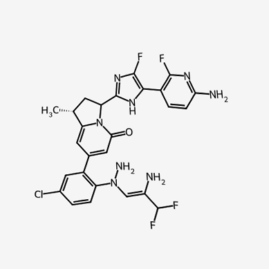 C[C@@H]1CC(c2nc(F)c(-c3ccc(N)nc3F)[nH]2)n2c1cc(-c1cc(Cl)ccc1N(N)/C=C(\N)C(F)F)cc2=O